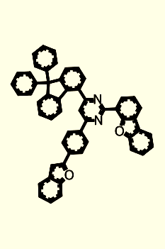 c1ccc(C2(c3ccccc3)c3ccccc3-c3c(-c4cc(-c5ccc(-c6cc7ccccc7o6)cc5)nc(-c5cccc6c5oc5ccccc56)n4)cccc32)cc1